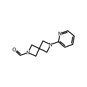 O=CN1CC2(C1)CN(c1ccccn1)C2